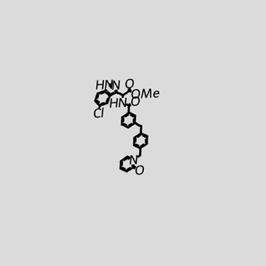 COC(=O)C(NC(=O)c1cccc(Cc2ccc(Cn3ccccc3=O)cc2)c1)c1n[nH]c2ccc(Cl)cc12